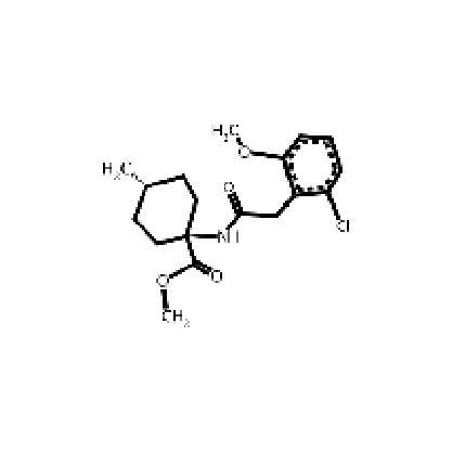 COc1cccc(Cl)c1CC(=O)N[C@]1(C(=O)OC)CC[C@@H](C)CC1